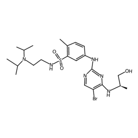 Cc1ccc(Nc2ncc(Br)c(N[C@H](C)CO)n2)cc1S(=O)(=O)NCCN(C(C)C)C(C)C